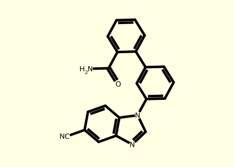 N#Cc1ccc2c(c1)ncn2-c1cccc(-c2ccccc2C(N)=O)c1